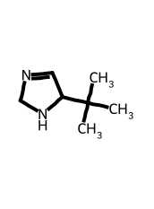 CC(C)(C)C1C=NCN1